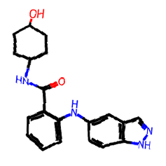 O=C(NC1CCC(O)CC1)c1ccccc1Nc1ccc2[nH]ncc2c1